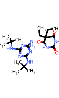 CC(C)(C)Nc1nc(N)nc(NC(C)(C)C)n1.CCC1(CC)C(=O)NC(=O)NC1=O